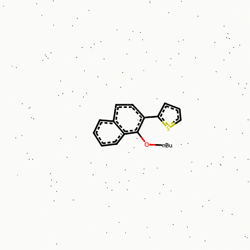 CCCCOc1c(-c2cccs2)ccc2ccccc12